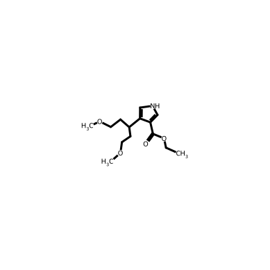 CCOC(=O)c1c[nH]cc1C(CCOC)CCOC